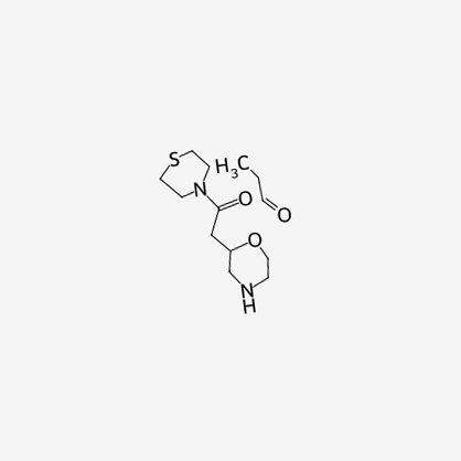 CCC=O.O=C(CC1CNCCO1)N1CCSCC1